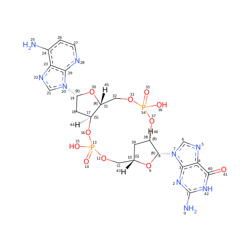 Nc1nc2c(ncn2[C@@H]2O[C@@H]3COP(=O)(O)O[C@H]4C[C@H](n5cnc6c(N)ccnc65)O[C@@H]4COP(=O)(O)O[C@@H]2C3)c(=O)[nH]1